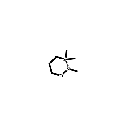 C[SiH]1OCCC[Si]1(C)C